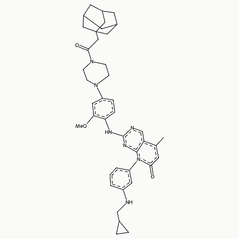 COc1cc(N2CCN(C(=O)CC34CC5CC(CC(C5)C3)C4)CC2)ccc1Nc1ncc2c(C)cc(=O)n(-c3cccc(NCC4CC4)c3)c2n1